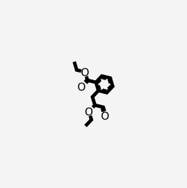 CCOC(=O)c1ccccc1CC(C=O)OCC